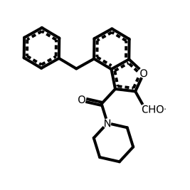 O=[C]c1oc2cccc(Cc3ccccc3)c2c1C(=O)N1CCCCC1